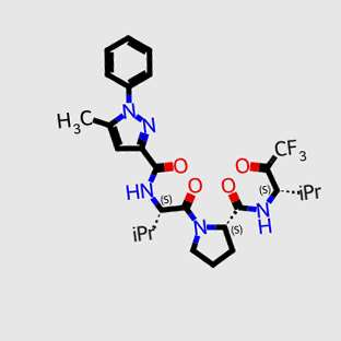 Cc1cc(C(=O)N[C@H](C(=O)N2CCC[C@H]2C(=O)N[C@H](C(=O)C(F)(F)F)C(C)C)C(C)C)nn1-c1ccccc1